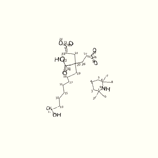 CC1(C)[CH][CH]CC(C)(C)N1.O=C(O)CCCCCCCC(CC=S(=O)=O)(CC=S(=O)=O)C(=O)O